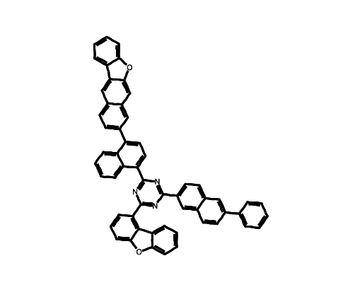 c1ccc(-c2ccc3cc(-c4nc(-c5ccc(-c6ccc7cc8c(cc7c6)oc6ccccc68)c6ccccc56)nc(-c5cccc6oc7ccccc7c56)n4)ccc3c2)cc1